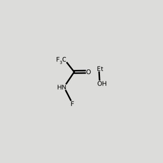 CCO.O=C(NF)C(F)(F)F